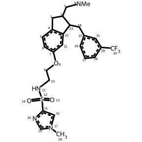 CNCC1Cc2ccc(OCCNS(=O)(=O)c3cn(C)cn3)cc2C1Cc1cccc(C(F)(F)F)c1